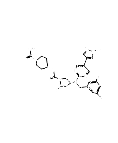 CC[C@@H]1C[C@H](N(Cc2cc(C(F)(F)F)cc(C(F)(F)F)c2)c2ncc(-c3cnn(C)c3)cn2)CN1C(=O)O[C@H]1CC[C@H](C(=O)OC)CC1